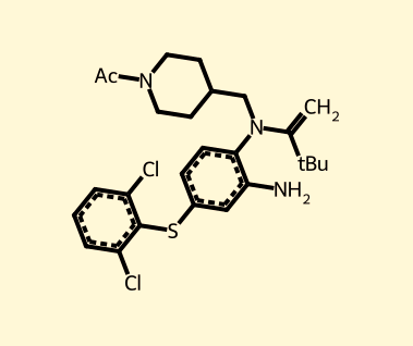 C=C(N(CC1CCN(C(C)=O)CC1)c1ccc(Sc2c(Cl)cccc2Cl)cc1N)C(C)(C)C